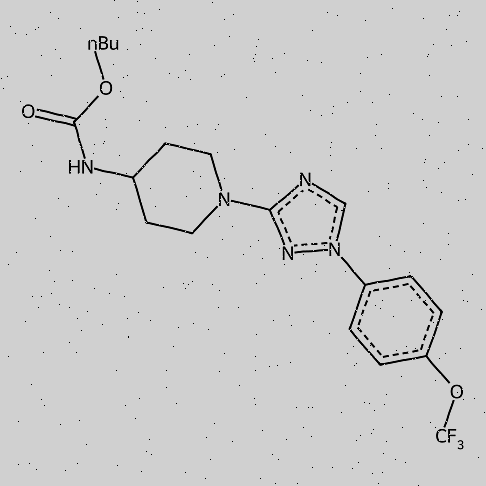 CCCCOC(=O)NC1CCN(c2ncn(-c3ccc(OC(F)(F)F)cc3)n2)CC1